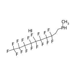 CPCCC(F)(F)C(F)(F)C(F)(F)C(F)(F)C(F)(F)C(F)(F)C(F)(F)C(F)(F)F.I